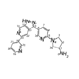 NC1CCN(c2ccc(-c3n[nH]c4cnc(-c5cccnc5)cc34)cn2)C1